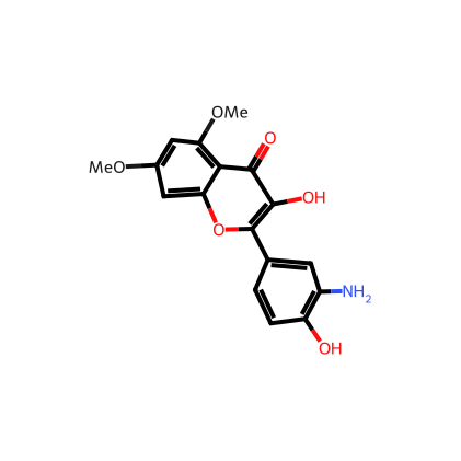 COc1cc(OC)c2c(=O)c(O)c(-c3ccc(O)c(N)c3)oc2c1